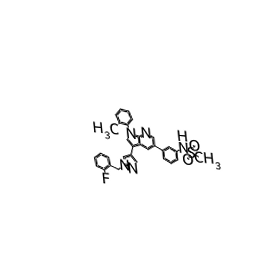 Cc1ccccc1-n1cc(-c2cnn(Cc3ccccc3F)c2)c2cc(-c3cccc(NS(C)(=O)=O)c3)cnc21